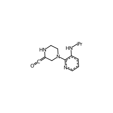 CC(C)Nc1cccnc1N1CCNC(=C=O)C1